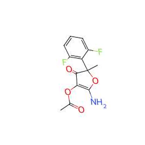 CC(=O)OC1=C(N)OC(C)(c2c(F)cccc2F)C1=O